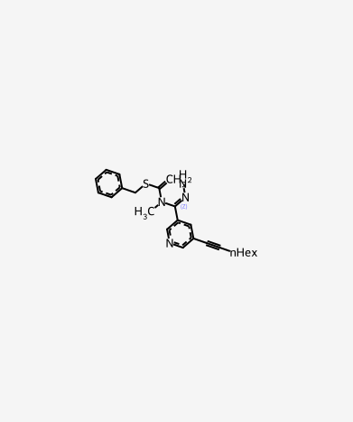 C=C(SCc1ccccc1)N(C)/C(=N\N)c1cncc(C#CCCCCCC)c1